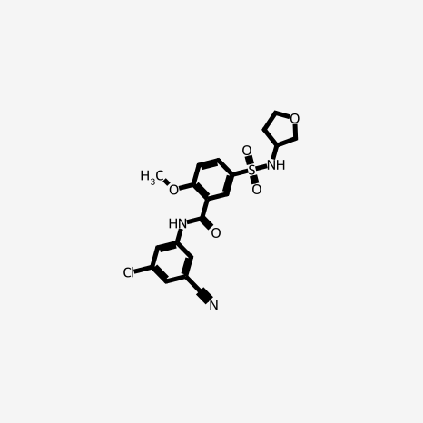 COc1ccc(S(=O)(=O)NC2CCOC2)cc1C(=O)Nc1cc(Cl)cc(C#N)c1